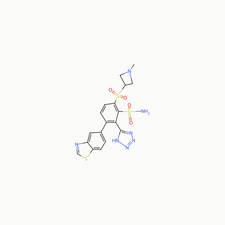 CN1CC(S(=O)(=O)c2ccc(-c3ccc4scnc4c3)c(-c3nnn[nH]3)c2S(N)(=O)=O)C1